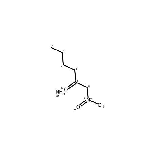 CCCCC(=O)C[N+](=O)[O-].N